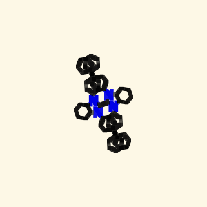 c1ccc(-c2ccc(N3C(=C4N(c5ccc(-c6ccccc6)cc5)C5CCCCC5N4c4ccc(-c5ccccc5)cc4)N(c4ccc(-c5ccccc5)cc4)C4CCCCC43)cc2)cc1